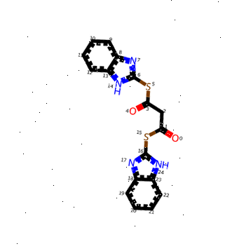 O=C(CC(=O)Sc1nc2ccccc2[nH]1)Sc1nc2ccccc2[nH]1